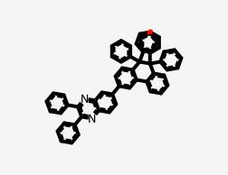 c1ccc(-c2nc3ccc(-c4ccc5c(c4)-c4ccccc4C(c4ccccc4)(c4ccccc4)C5(c4ccccc4)c4ccccc4)cc3nc2-c2ccccc2)cc1